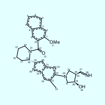 COc1cc2ccccc2cc1C(=O)N1CCCC[C@H]1c1cc2nc(N3C[C@@H](C=N)[C@@H](O)C3)c(C)cn2n1